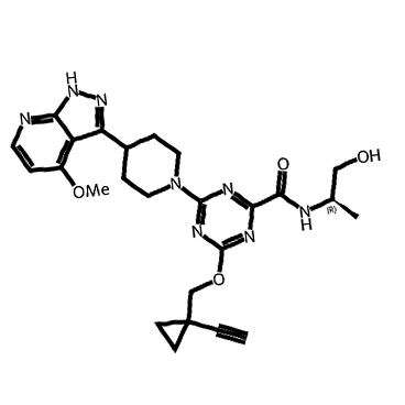 C#CC1(COc2nc(C(=O)N[C@H](C)CO)nc(N3CCC(c4n[nH]c5nccc(OC)c45)CC3)n2)CC1